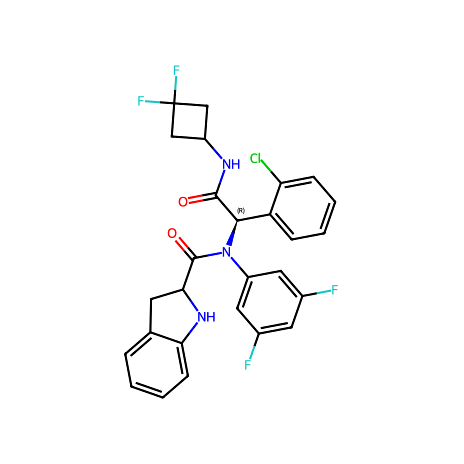 O=C(NC1CC(F)(F)C1)[C@@H](c1ccccc1Cl)N(C(=O)C1Cc2ccccc2N1)c1cc(F)cc(F)c1